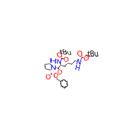 CC(C)(C)OC(=O)NCCCC[C@H](NC(=O)OC(C)(C)C)C(=O)N1CCC[C@H]1C(=O)OCc1ccccc1